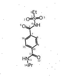 CCS(=O)(=O)NC(=O)c1ccc(C(=O)NC(C)C)cc1